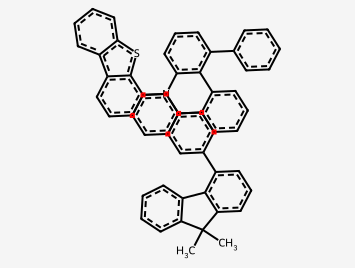 CC1(C)c2ccccc2-c2c(-c3ccc(N(c4cccc(-c5ccccc5)c4-c4ccccc4-c4ccccc4)c4cccc5c4sc4ccccc45)cc3)cccc21